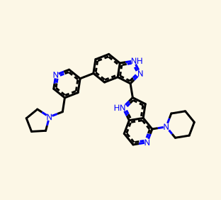 c1cc2[nH]c(-c3n[nH]c4ccc(-c5cncc(CN6CCCC6)c5)cc34)cc2c(N2CCCCC2)n1